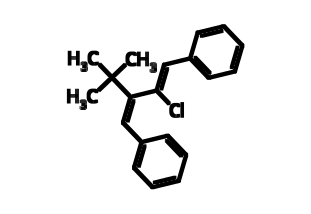 CC(C)(C)C(=Cc1ccccc1)C(Cl)=Cc1ccccc1